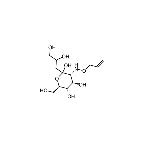 C=CCON[C@@H]1[C@@H](O)[C@H](O)[C@@H](CO)OC1(O)CC(O)CO